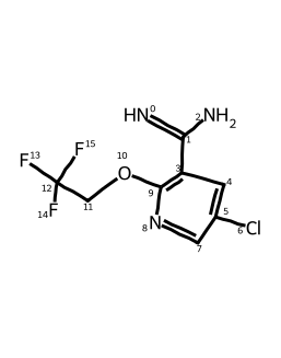 N=C(N)c1cc(Cl)cnc1OCC(F)(F)F